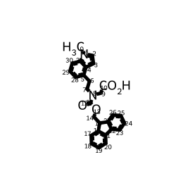 Cn1ccc2c(CCN(CC(=O)O)C(=O)OCC3c4ccccc4-c4ccccc43)cccc21